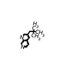 CC(C)(C)Cc1cnc2cnccc2c1